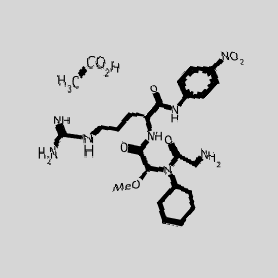 CC(=O)O.CO[C@@H](C(=O)N[C@@H](CCCNC(=N)N)C(=O)Nc1ccc([N+](=O)[O-])cc1)N(C(=O)CN)C1CCCCC1